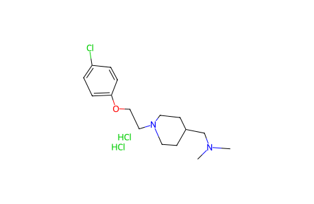 CN(C)CC1CCN(CCOc2ccc(Cl)cc2)CC1.Cl.Cl